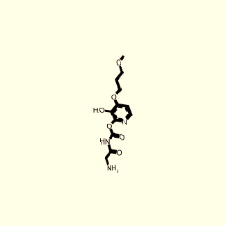 COCCCOc1ccnc(OC(=O)NC(=O)CN)c1O